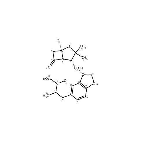 CC1(C)S[C@@H]2CC(=O)N2[C@H]1C(=O)O.CCCCCCCC[S+]([O-])C(C)Cc1ccc2c(c1)OCO2